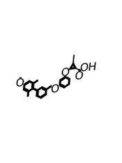 COc1cc(C)c(-c2cccc(COC3=CCCC(O[C@@H]4[C@H](I)[C@H]4C(=O)O)=C3)c2)c(C)c1